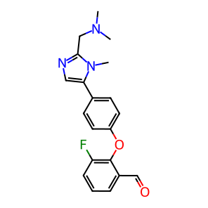 CN(C)Cc1ncc(-c2ccc(Oc3c(F)cccc3C=O)cc2)n1C